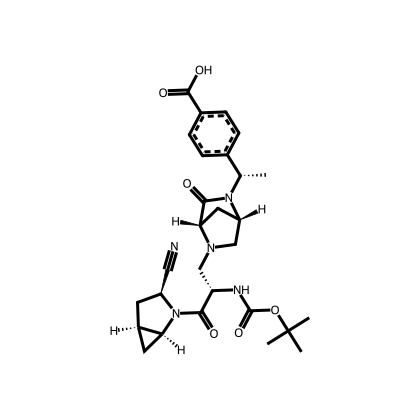 C[C@@H](c1ccc(C(=O)O)cc1)N1C(=O)[C@@H]2C[C@H]1CN2C[C@H](NC(=O)OC(C)(C)C)C(=O)N1[C@H](C#N)C[C@@H]2C[C@@H]21